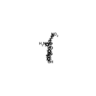 Nc1ccc(OC(=O)Oc2ccc(P3(=S)SP(=S)(c4ccc(O)cc4)S3)cc2)c(C(=O)OCCCCO[N+](=O)[O-])c1